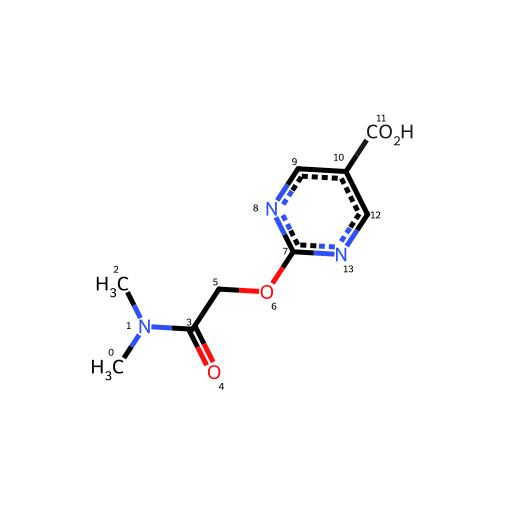 CN(C)C(=O)COc1ncc(C(=O)O)cn1